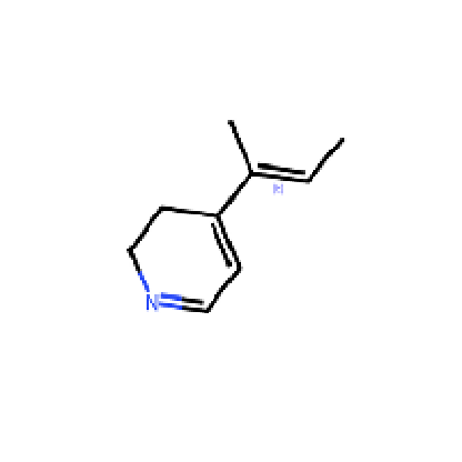 C/C=C(\C)C1=CC=NCC1